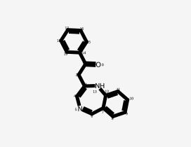 O=C(CC1=CN=Cc2ccccc2N1)c1ccccc1